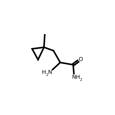 CC1(CC(N)C(N)=O)CC1